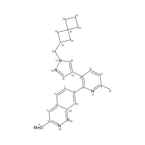 COc1cc2ccc(-c3nc(C)ccc3-c3cnn(CC4CC5(CCC5)C4)c3)cc2nn1